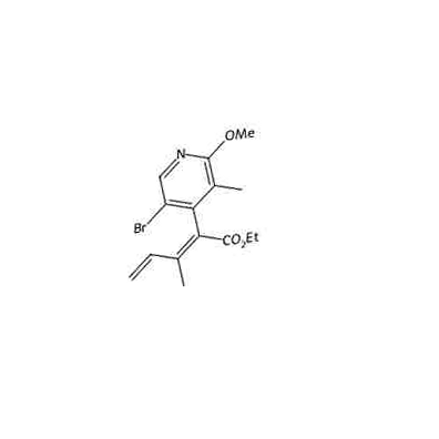 C=C/C(C)=C(/C(=O)OCC)c1c(Br)cnc(OC)c1C